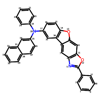 c1ccc(-c2nc3cc4c(cc3o2)oc2ccc(N(c3ccccc3)c3ccc5ccccc5c3)cc24)cc1